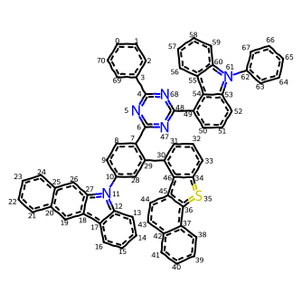 c1ccc(-c2nc(-c3ccc(-n4c5ccccc5c5cc6ccccc6cc54)cc3-c3cccc4sc5c6ccccc6ccc5c34)nc(-c3cccc4c3c3ccccc3n4-c3ccccc3)n2)cc1